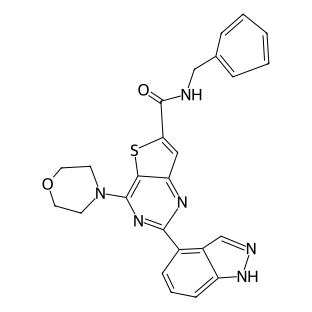 O=C(NCc1ccccc1)c1cc2nc(-c3cccc4[nH]ncc34)nc(N3CCOCC3)c2s1